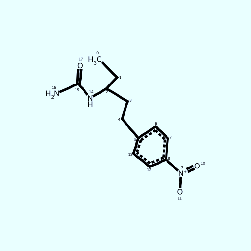 CCC(CCc1ccc([N+](=O)[O-])cc1)NC(N)=O